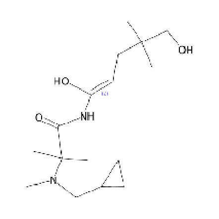 CN(CC1CC1)C(C)(C)C(=O)N/C(O)=C/CC(C)(C)CO